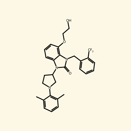 Cc1cccc(C)c1N1CCC(n2c(=O)n(Cc3ccccc3C(F)(F)F)c3c(OCCO)cccc32)C1